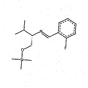 CC(C)[C@@H](CO[Si](C)(C)C)N=Cc1ccccc1F